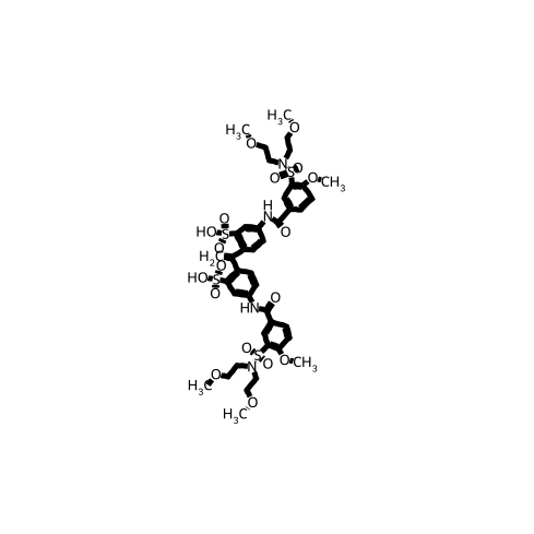 C=C(c1ccc(NC(=O)c2ccc(OC)c(S(=O)(=O)N(CCOC)CCOC)c2)cc1S(=O)(=O)O)c1ccc(NC(=O)c2ccc(OC)c(S(=O)(=O)N(CCOC)CCOC)c2)cc1S(=O)(=O)O